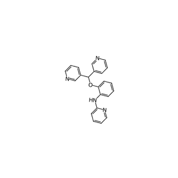 c1ccc(Nc2ccccc2OC(c2cccnc2)c2cccnc2)nc1